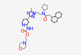 Cc1nc(-c2ccnc(NC(=O)OCCN3CCOCC3)c2)nn1CCN(C(=O)Cc1cccc2ccccc12)C1CCCC1